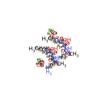 CON=C(C(=O)NC1C(=O)N2C(C(=O)O)=C([n+]3ccc4cc(C)sc4c3)SCC12)c1csc(N)c1.CON=C(C(=O)NC1C(=O)N2C(C(=O)O)=C([n+]3ccc4cc(C)sc4c3)SCC12)c1csc(N)c1.O=C([O-])C(F)(F)F.O=S(=O)([O-])C(F)(F)F